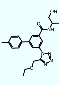 CCOCc1nnnn1-c1cc(C(=O)NC(C)CO)cc(-c2ccc(C)cc2)c1